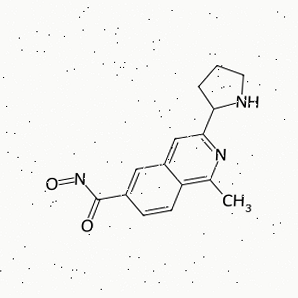 Cc1nc(C2CCCN2)cc2cc(C(=O)N=O)ccc12